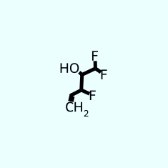 C=CC(F)C(O)C(F)F